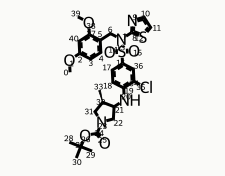 COc1ccc(CN(c2nccs2)S(=O)(=O)c2ccc(NC3CN(C(=O)OC(C)(C)C)C[C@H]3C)c(Cl)c2)c(OC)c1